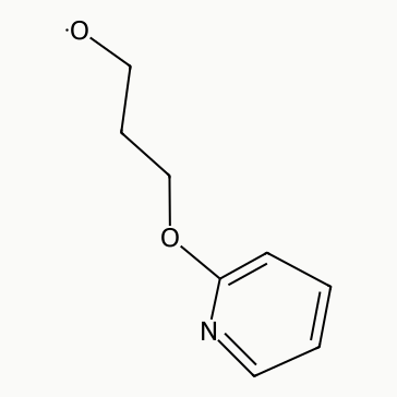 [O]CCCOc1ccccn1